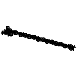 [N-]=[N+]=NCCOCCOCCOCCOCCOCCOCCOCCOCCOCCOCCOCCOCCC(=O)Oc1c(F)cc(F)cc1F